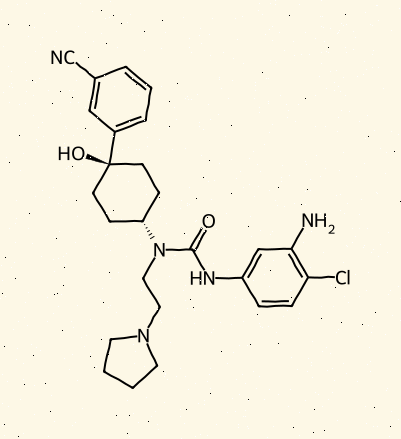 N#Cc1cccc([C@]2(O)CC[C@H](N(CCN3CCCC3)C(=O)Nc3ccc(Cl)c(N)c3)CC2)c1